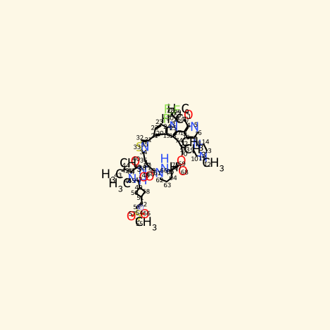 CO[C@@H](C)c1ncc(N2CCN(C)CC2)cc1-c1c2c3cc(ccc3n1CC(F)(F)F)-c1csc(n1)C[C@H](NC(=O)[C@H](C(C)C)N(C)C(=O)C1CC(/C=C/S(C)(=O)=O)C1)C(=O)N1CCC[C@H](N1)C(=O)OCC(C)(C)C2